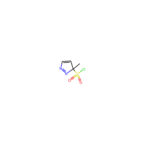 CC1(S(=O)(=O)Cl)C=CN=N1